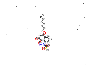 CCCCCCCCOC1=CC(=O)C(=O)c2c(NS(C)(=O)=O)cccc21